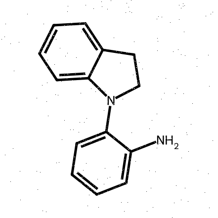 Nc1ccccc1N1CCc2ccccc21